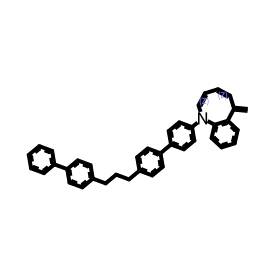 C=C1/C=C\C=C/N(c2ccc(-c3ccc(CCCc4ccc(-c5ccccc5)cc4)cc3)cc2)c2ccccc21